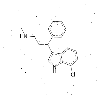 CNCCC(c1ccccc1)c1c[nH]c2c(Cl)cccc12